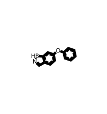 B1N=Cc2ccc(Oc3ccccc3)cc21